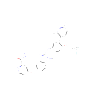 CNC(=O)c1cc(Oc2ccc3c(c2)nc(Nc2ccc(OCC(F)(F)F)c(-c4ccc(C)nc4C)c2)n3C)ccn1